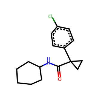 O=C(NC1CCCCC1)C1(c2ccc(Cl)cc2)CC1